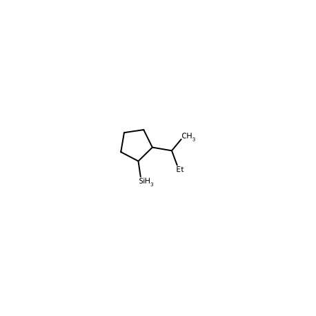 CCC(C)C1CCCC1[SiH3]